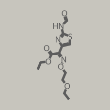 CCOCCON=C(C(=O)OCC)c1csc(NC=O)n1